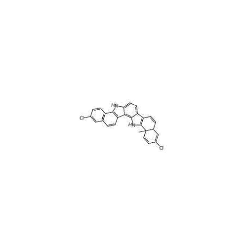 CC12C=CC(Cl)=CC1C=Cc1c2[nH]c2c1ccc1[nH]c3c4ccc(Cl)cc4ccc3c12